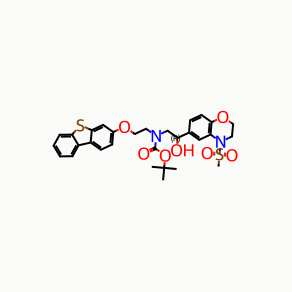 CC(C)(C)OC(=O)N(CCOc1ccc2c(c1)sc1ccccc12)C[C@H](O)c1ccc2c(c1)N(S(C)(=O)=O)CCO2